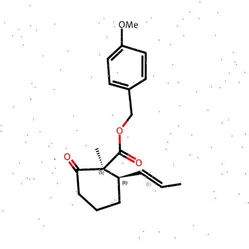 C/C=C/[C@H]1CCCC(=O)[C@@]1(C)C(=O)OCc1ccc(OC)cc1